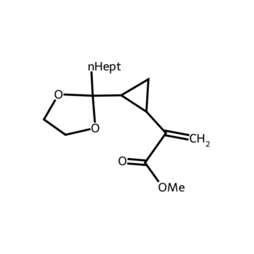 C=C(C(=O)OC)C1CC1C1(CCCCCCC)OCCO1